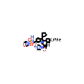 COc1ccc2c(c1)[C@@H]1C[C@]1(C(=O)N1C[C@@H](C)N(C)[C@@H](C)C1)Cn1c-2c(C2CCCCC2)c2ccc(C(=O)NS(=O)(=O)N3CCOCC3)cc21